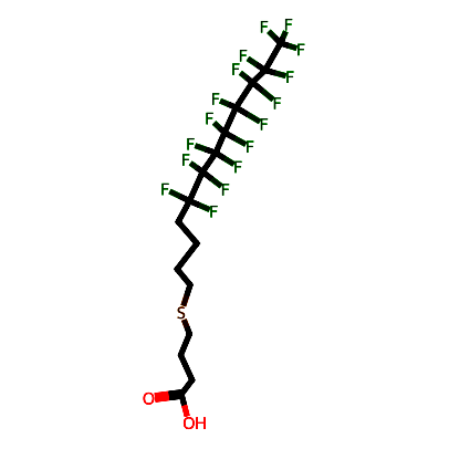 O=C(O)CCCSCCCCC(F)(F)C(F)(F)C(F)(F)C(F)(F)C(F)(F)C(F)(F)C(F)(F)C(F)(F)F